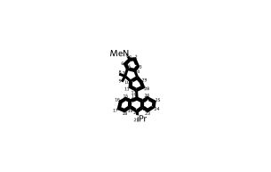 CNc1ccc2c(c1)C(C)(C)c1cc(-c3c4ccccc4c(C(C)C)c4ccccc34)ccc1-2